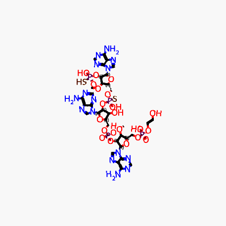 COC1[C@@H](COP(O)(=S)O[C@H]2C(O)[C@@H](COP(=O)(O)O[C@H]3C(OC)[C@@H](COP(=O)(O)OCCO)O[C@H]3n3cnc4c(N)ncnc43)O[C@H]2n2cnc3c(N)ncnc32)O[C@@H](n2cnc3c(N)ncnc32)[C@H]1OP(=O)(O)S